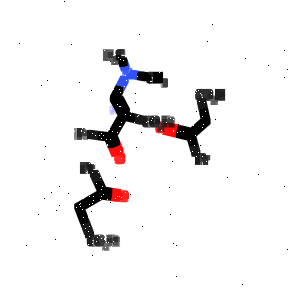 CC(C)C(=O)CC(=O)O.CCOC(=O)/C(=C\N(C)C)C(=O)C(C)C.CCOC(=O)CC(=O)C(C)C